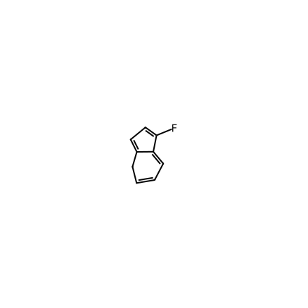 FC1=CC=C2CC=CC=C12